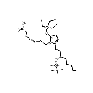 CCCCCC(CCC1=CC[C@H](O[Si](CC)(CC)CC)[C@@H]1CCC=C=CCC(=O)O)O[Si](C)(C)C(C)(C)C